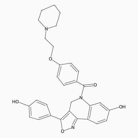 O=C(c1ccc(OCCN2CCCCC2)cc1)N1Cc2c(noc2-c2ccc(O)cc2)-c2ccc(O)cc21